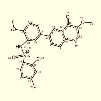 COc1ncc(-c2ccc3ncc(OC)c(=O)n3c2)cc1NS(=O)(=O)c1ccc(F)cc1Cl